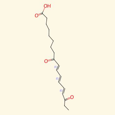 CCC(=O)/C=C/C=C/C=C/C(=O)CCCCCCCC(=O)O